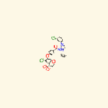 O=C(N[C@H]1CCCN(c2cccc(Cl)c2)C1)c1ccc(Oc2cc3c(cc2Cl)C(C(=O)[O-])CCO3)cc1.[Na+]